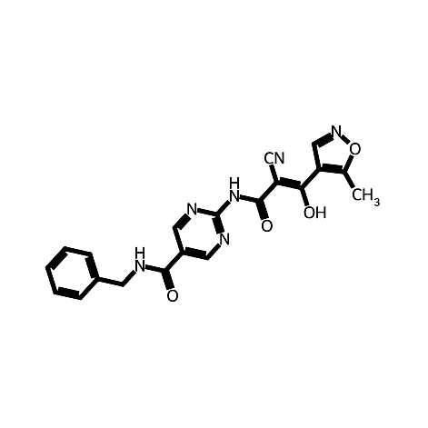 Cc1oncc1/C(O)=C(\C#N)C(=O)Nc1ncc(C(=O)NCc2ccccc2)cn1